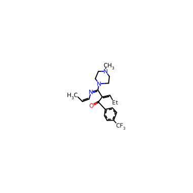 C\C=C/N=C(\C(=C\CC)C(=O)c1ccc(C(F)(F)F)cc1)N1CCN(C)CC1